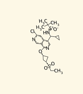 CCS(=O)(=O)[C@H]1C[C@@H](Oc2ncc(C(N[S@@+]([O-])C(C)(C)C)C3CC3)c3cc(Cl)ncc23)C1